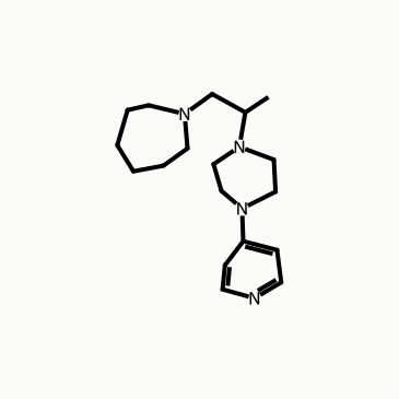 CC(CN1CCCCCC1)N1CCN(c2ccncc2)CC1